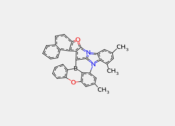 Cc1cc2c3c(c1)-n1c4c(C)cc(C)cc4n4c5oc6ccc7ccccc7c6c5c(c14)B3c1ccccc1O2